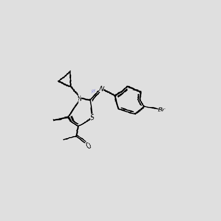 CC(=O)c1s/c(=N\c2ccc(Br)cc2)n(C2CC2)c1C